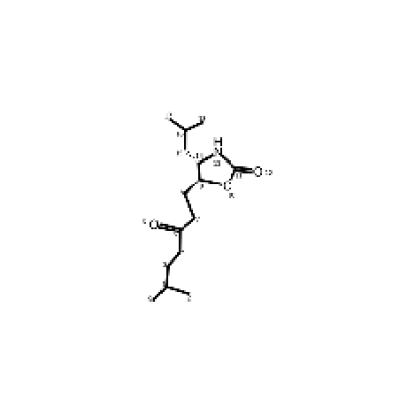 CC(C)CCC(=O)CC[C@@H]1OC(=O)N[C@H]1CC(C)C